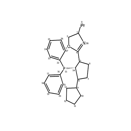 CC(C)C1COC(C2CCC(C3CCCC3)[C@@H]2P(c2ccccc2)c2ccccc2)=N1